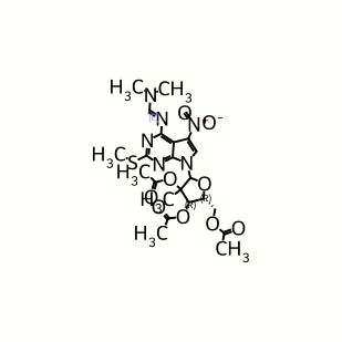 CSc1nc(/N=C/N(C)C)c2c([N+](=O)[O-])cn(C3O[C@H](COC(C)=O)[C@@H](OC(C)=O)C3(C)OC(C)=O)c2n1